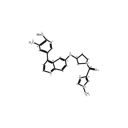 COc1ncc(-c2ccnc3ccc(OC4CCN(C(=O)c5cn(C)cn5)C4)cc23)cc1C